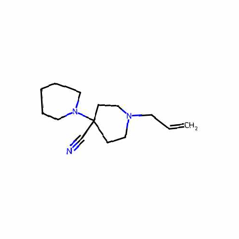 C=CCN1CCC(C#N)(N2CCCCC2)CC1